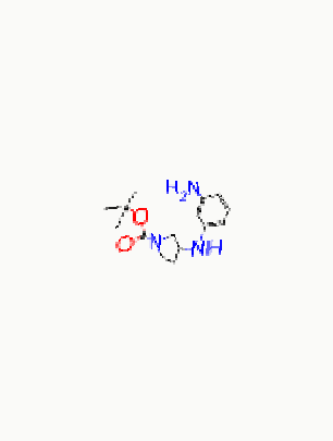 CC(C)(C)OC(=O)N1CCC(Nc2cccc(N)c2)C1